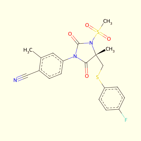 Cc1cc(N2C(=O)N(S(C)(=O)=O)[C@](C)(CSc3ccc(F)cc3)C2=O)ccc1C#N